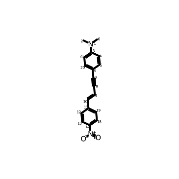 CN(C)c1ccc(C#C/C=C/c2ccc([N+](=O)[O-])cc2)cc1